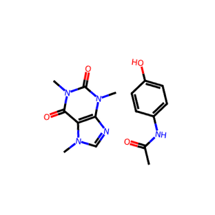 CC(=O)Nc1ccc(O)cc1.Cn1c(=O)c2c(ncn2C)n(C)c1=O